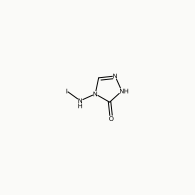 O=c1[nH]ncn1NI